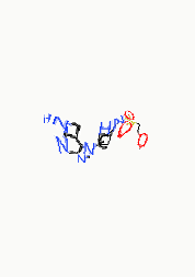 COCCS(=O)(=O)NC12CC(n3cnc4cnc5[nH]ccc5c43)(C1)C2